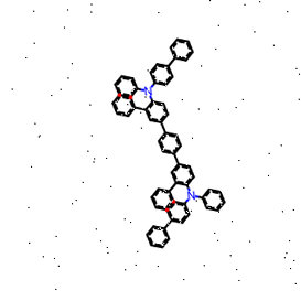 c1ccc(-c2ccc(N(c3ccccc3)c3ccc(-c4ccc(-c5ccc(N(c6ccccc6)c6ccc(-c7ccccc7)cc6)c(-c6ccccc6)c5)cc4)cc3-c3ccccc3)cc2)cc1